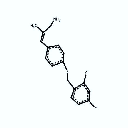 CC(=Cc1ccc(SCc2ccc(Cl)cc2Cl)cc1)CN